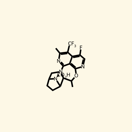 Cc1nc2c3c(ncc(F)c3c1C(F)(F)F)OC(C)C1C3CCC(CN21)N3C(=O)O